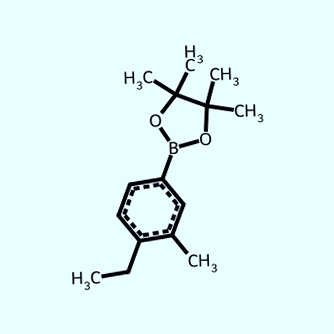 CCc1ccc(B2OC(C)(C)C(C)(C)O2)cc1C